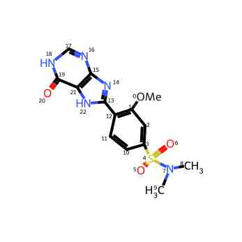 COc1cc(S(=O)(=O)N(C)C)ccc1-c1nc2nc[nH]c(=O)c2[nH]1